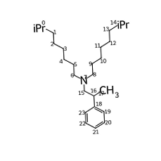 CC(C)CCCCCCN(CCCCCCC(C)C)CC(C)c1ccccc1